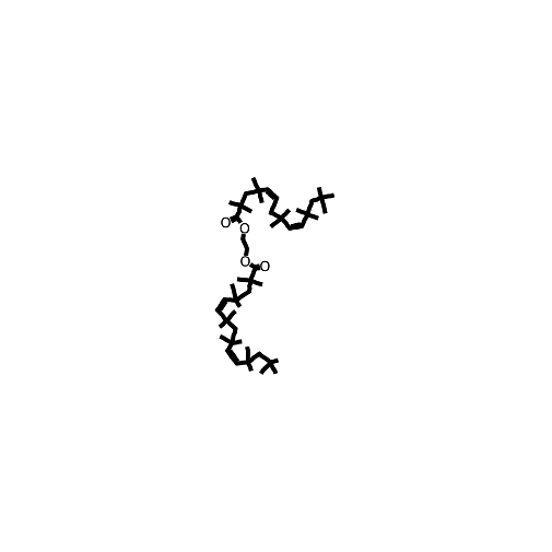 CC(C)(C)CC(C)(C)/C=C\C(C)(C)C/C=C\C(C)(C)CC(C)(C)C(=O)OCCOC(=O)C(C)(C)CC(C)(C)/C=C\C(C)(C)CC(C)(C)/C=C\C(C)(C)CC(C)(C)C